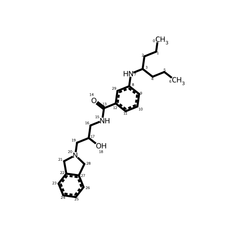 CCCC(CCC)Nc1cccc(C(=O)NCC(O)CN2Cc3ccccc3C2)c1